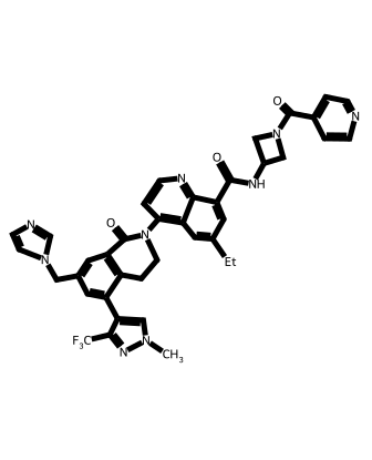 CCc1cc(C(=O)NC2CN(C(=O)c3ccncc3)C2)c2nccc(N3CCc4c(cc(Cn5ccnc5)cc4-c4cn(C)nc4C(F)(F)F)C3=O)c2c1